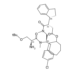 CN(C[C@@H](Cc1ccc(Cl)cc1)N(C)C(=O)[C@@H](N)COC(C)(C)C)C(=O)[C@@H](CC(=O)OC1CCCCCC1)[C@H]1CCc2ccccc21